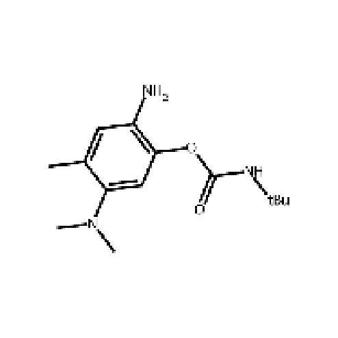 Cc1cc(N)c(OC(=O)NC(C)(C)C)cc1N(C)C